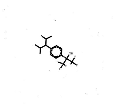 CC(C)C(c1ccc(C(O)(C(F)(F)F)C(F)(F)F)cc1)C(C)C